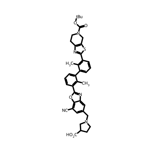 Cc1c(-c2nc3cc(CN4CCC(C(=O)O)C4)cc(C#N)c3o2)cccc1-c1cccc(-c2nc3c(s2)CN(C(=O)OC(C)(C)C)CC3)c1C